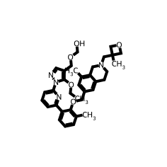 CCOc1c(COCO)cnn1-c1cccc(-c2cccc(C)c2OCc2cc(C)c3c(c2)CCN(CC2(C)COC2)C3)n1